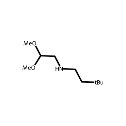 COC(CNCCC(C)(C)C)OC